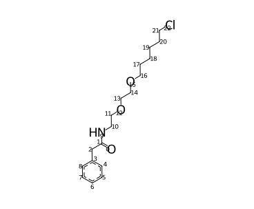 O=C(Cc1ccccc1)NCCOCCOCCCCCCCl